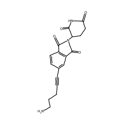 NCCCC#Cc1ccc2c(c1)C(=O)N(C1CCC(=O)NC1=O)C2=O